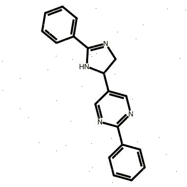 c1ccc(C2=NCC(c3cnc(-c4ccccc4)nc3)N2)cc1